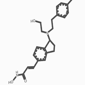 O=C(C=Cc1ccc2c(c1)CCC2N(CCO)CCc1ccc(F)cc1)NO